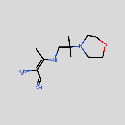 C/C(NCC(C)(C)N1CCOCC1)=C(\N)C=N